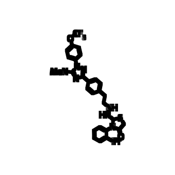 CNc1nc(-c2ccc(CCNNC3SCC(=O)N3c3ccccc3C(C)C)cc2)nn1-c1ccc(OC(F)(F)F)cc1